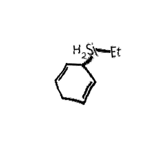 CC[SiH2]C1C=CCC=C1